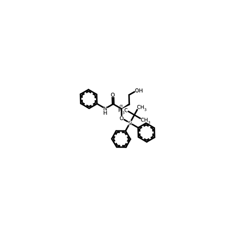 CC(C)(C)[Si](O[C@H](CCO)C(=O)Nc1ccccc1)(c1ccccc1)c1ccccc1